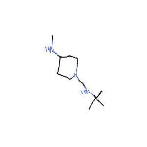 CNC1CCN(CNC(C)(C)C)CC1